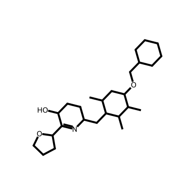 CC1CC(OCC2CCCCC2)C(C)C(C)C1CC1CCC(O)C(C2CCCO2)=N1